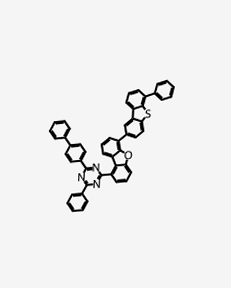 c1ccc(-c2ccc(-c3nc(-c4ccccc4)nc(-c4cccc5oc6c(-c7ccc8sc9c(-c%10ccccc%10)cccc9c8c7)cccc6c45)n3)cc2)cc1